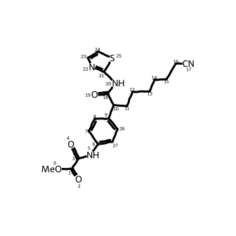 COC(=O)C(=O)Nc1ccc(C(CCCCCCC#N)C(=O)Nc2nccs2)cc1